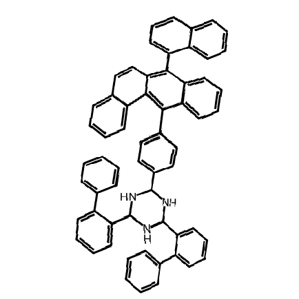 c1ccc(-c2ccccc2C2NC(c3ccc(-c4c5ccccc5c(-c5cccc6ccccc56)c5ccc6ccccc6c45)cc3)NC(c3ccccc3-c3ccccc3)N2)cc1